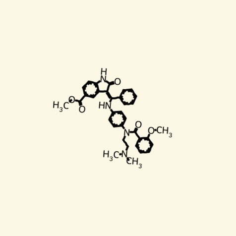 COC(=O)c1ccc2c(c1)C(=C(Nc1ccc(N(CCN(C)C)C(=O)c3ccccc3OC)cc1)c1ccccc1)C(=O)N2